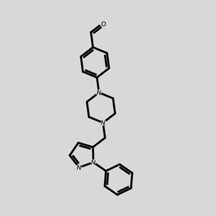 O=Cc1ccc(N2CCN(Cc3ccnn3-c3ccccc3)CC2)cc1